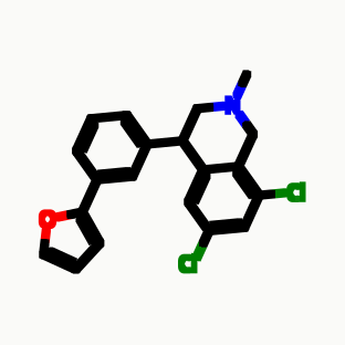 CN1Cc2c(Cl)cc(Cl)cc2C(c2cccc(-c3ccco3)c2)C1